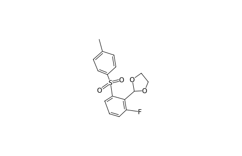 Cc1ccc(S(=O)(=O)c2cccc(F)c2C2OCCO2)cc1